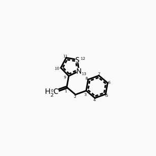 C=C(Cc1c[c]ccc1)c1ccsn1